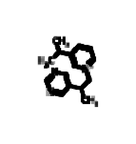 CC(C)c1ccc[n+](CC(C)c2cncnc2)c1